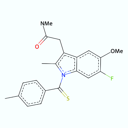 CNC(=O)Cc1c(C)n(C(=S)c2ccc(C)cc2)c2cc(F)c(OC)cc12